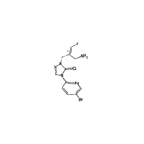 NC/C(=C\F)Cn1ncn(-c2ccc(Br)cn2)c1=O